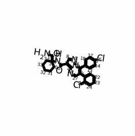 NC(=O)C1(NC(=O)c2cnn3c(-c4ccc(Cl)cc4)c(-c4ccccc4Cl)cnc23)CCCCC1